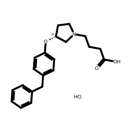 Cl.O=C(O)CCCN1CC[C@@H](Oc2ccc(Cc3ccccc3)cc2)C1